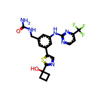 NC(=O)NCc1cc(Nc2nccc(C(F)(F)F)n2)cc(-c2cnc(C3(O)CCC3)s2)c1